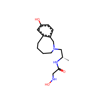 C[C@@H](CN1CCCCc2cc(O)ccc2C1)NC(=O)CNO